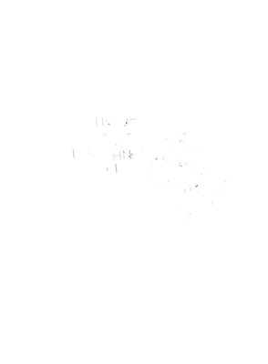 CC(C)C(CO)(CO)NCc1ccc2c3cccc4cccc(c5cccc1c52)c43